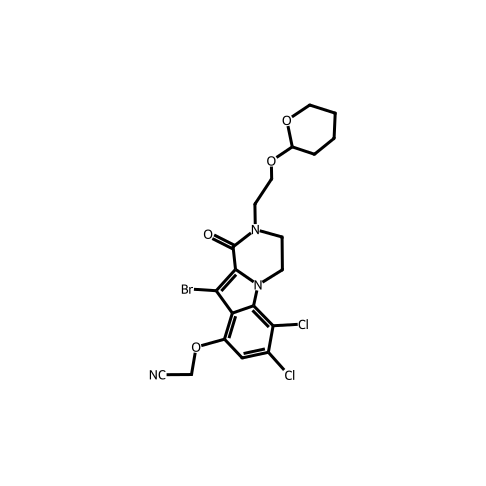 N#CCOc1cc(Cl)c(Cl)c2c1c(Br)c1n2CCN(CCOC2CCCCO2)C1=O